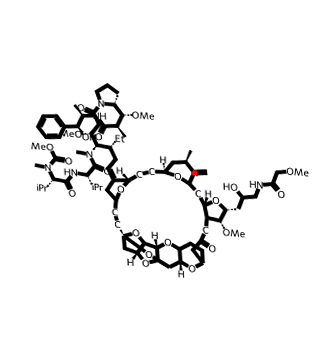 C=C1[C@H](C)C[C@@H]2CC[C@@H]3OC(CC[C@@]45C[C@H]6OC7C(O4)[C@H]4OC(CCC4O[C@H]7C6O5)CC(=O)CC4[C@H](C[C@H]1O2)O[C@H](CC(O)CNC(=O)COC)[C@@H]4OC)C/C3=C/C[C@@H](CC)[C@@H]([C@@H](CC(=O)N1CCC[C@@H]1[C@H](OC)[C@@H](C)C(=O)N[C@H](C)[C@@H](O)c1ccccc1)OC)N(C)C(=O)[C@@H](NC(=O)[C@H](C(C)C)N(C)C(=O)OC)C(C)C